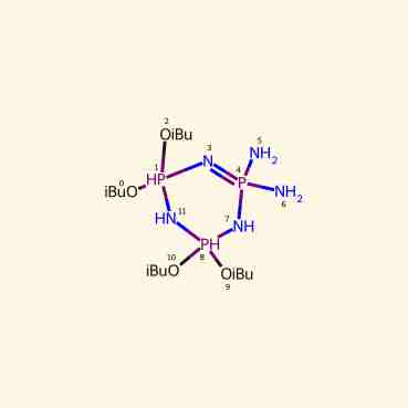 CC(C)CO[PH]1(OCC(C)C)N=P(N)(N)N[PH](OCC(C)C)(OCC(C)C)N1